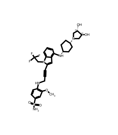 COc1cc(S(N)(=O)=O)ccc1NCC#Cc1cc2c(N[C@H]3CC[C@@H](N4C[C@H](O)[C@@H](O)C4)CC3)cccc2n1CC(F)(F)F